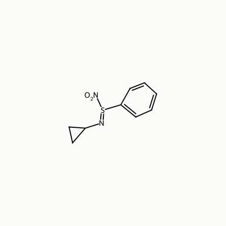 O=[N+]([O-])S(=NC1CC1)c1ccccc1